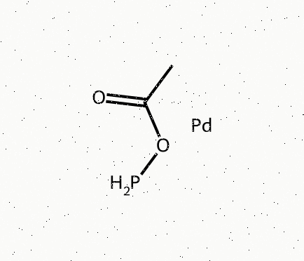 CC(=O)OP.[Pd]